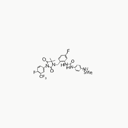 CSNc1ccc(NC(=O)Nc2cc(F)ccc2CN2C(=O)N(c3ccc(F)c(C(F)(F)F)c3)C(=O)C2(C)C)cc1